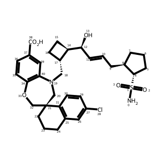 NS(=O)(=O)[C@H]1CCC[C@@H]1C/C=C/[C@H](O)[C@@H]1CC[C@H]1CN1C[C@@]2(CCCc3cc(Cl)ccc32)COc2ccc(C(=O)O)cc21